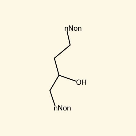 CCCCCCCCCCCC(O)CCCCCCCCCC